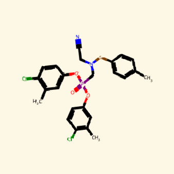 Cc1ccc(SN(CC#N)CP(=O)(Oc2ccc(Cl)c(C)c2)Oc2ccc(Cl)c(C)c2)cc1